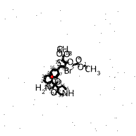 CCOC(=O)COc1c(C(=O)OC)sc(-c2cccc(OC(C(N)=O)(c3ccccc3)C3CCNCC3)c2)c1Br